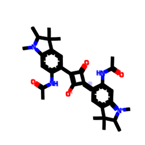 CC(=O)Nc1cc2c(cc1C1=C([O-])/C(=c3\cc4c(cc3NC(C)=O)=[N+](C)C(C)C4(C)C)C1=O)C(C)(C)C(C)N2C